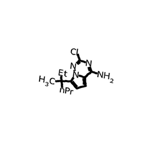 CCCC(C)(CC)c1ccc2c(N)nc(Cl)nn12